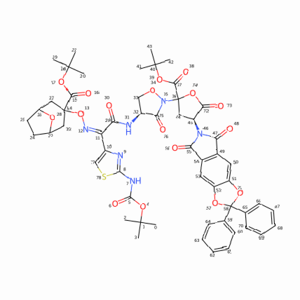 CC(C)(C)OC(=O)Nc1nc(/C(=N/OC2(C(=O)OC(C)(C)C)CC3CCC(C2)O3)C(=O)N[C@H]2CON(C3(C(=O)OC(C)(C)C)C[C@H](N4C(=O)c5cc6c(cc5C4=O)OC(c4ccccc4)(c4ccccc4)O6)C(=O)O3)C2=O)cs1